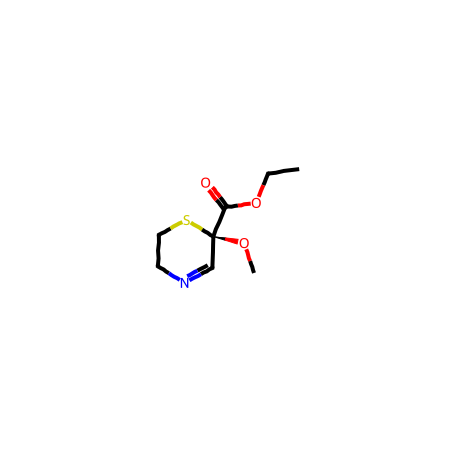 CCOC(=O)[C@]1(OC)C=NCCS1